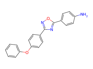 Nc1ccc(-c2nc(-c3ccc(Oc4ccccc4)cc3)no2)cc1